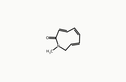 CN1C/C=C/C=C\C=C\C1=O